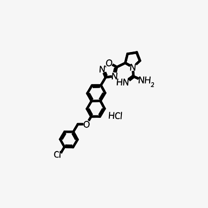 Cl.N=C(N)N1CCCC1c1nc(-c2ccc3cc(OCc4ccc(Cl)cc4)ccc3c2)no1